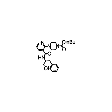 CCCCOC(=O)N1CCN(c2ncccc2C(=O)NC(CO)Cc2ccccc2)CC1